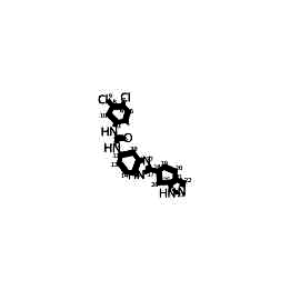 O=C(Nc1ccc(Cl)c(Cl)c1)Nc1ccc2[nH]c(-c3ccc4cn[nH]c4c3)nc2c1